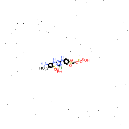 Nc1cc(Nc2nc(Cl)nc(Nc3ccc(S(=O)(=O)CCOSOOO)cc3)n2)c(SOOO)cc1S(=O)(=O)O